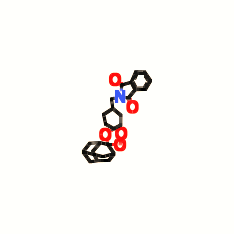 O=C1c2ccccc2C(=O)N1CC1CCC2(CC1)OOC1(O2)C2CC3CC(C2)CC1C3